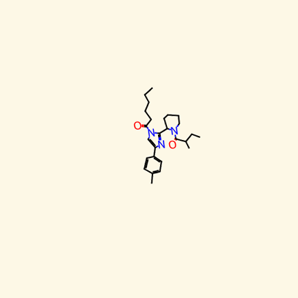 CCCCCC(=O)n1cc(-c2ccc(C)cc2)nc1C1CCCCN1C(=O)C(C)CC